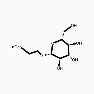 CCCCCCCCCCS[C@@H]1O[C@H](CO)[C@@H](O)[C@H](O)[C@H]1O